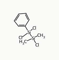 C[Si](C)(Cl)[Si](Cl)(Cl)c1ccccc1